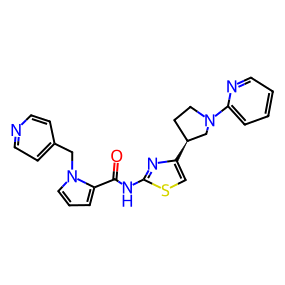 O=C(Nc1nc([C@H]2CCN(c3ccccn3)C2)cs1)c1cccn1Cc1ccncc1